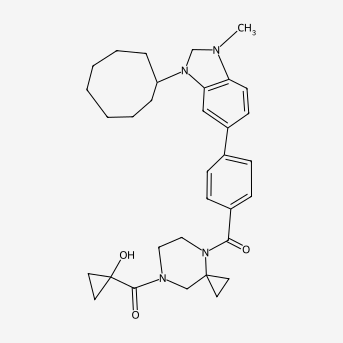 CN1CN(C2CCCCCCC2)c2cc(-c3ccc(C(=O)N4CCN(C(=O)C5(O)CC5)CC45CC5)cc3)ccc21